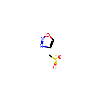 C[SH](=O)=O.c1conn1